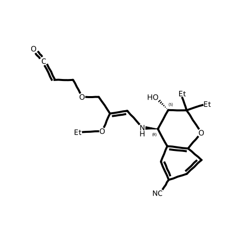 CCOC(=CN[C@@H]1c2cc(C#N)ccc2OC(CC)(CC)[C@H]1O)COCC=C=O